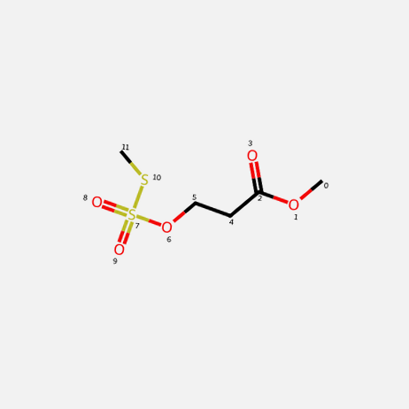 COC(=O)CCOS(=O)(=O)SC